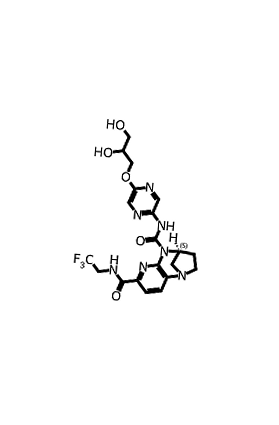 O=C(NCC(F)(F)F)c1ccc2c(n1)N(C(=O)Nc1cnc(OCC(O)CO)cn1)[C@H]1CCN2C1